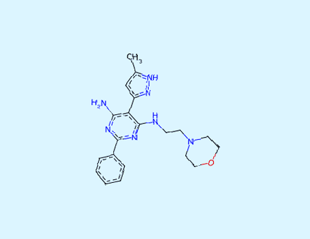 Cc1cc(-c2c(N)nc(-c3ccccc3)nc2NCCN2CCOCC2)n[nH]1